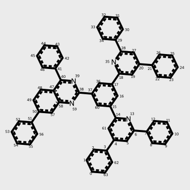 c1ccc(-c2cc(-c3ccccc3)nc(-c3cc(-c4cc(-c5ccccc5)cc(-c5ccccc5)n4)cc(-c4nc(-c5ccccc5)c5ccc(-c6ccccc6)cc5n4)c3)c2)cc1